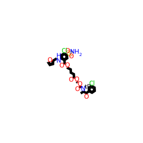 CC(C(=O)c1cccc(Cl)c1)N(C(=O)OCOC(=O)CCCCOC(=O)c1cc(S(N)(=O)=O)c(Cl)cc1NCc1ccco1)C(C)(C)C